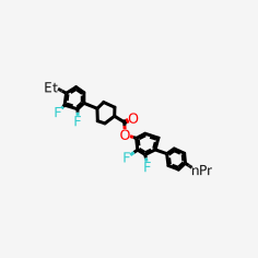 CCCc1ccc(-c2ccc(OC(=O)C3CCC(c4ccc(CC)c(F)c4F)CC3)c(F)c2F)cc1